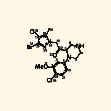 COc1cc(N2CCNCC2C(=O)Cn2nc(Br)c(Cl)c2C)ccc1Cl